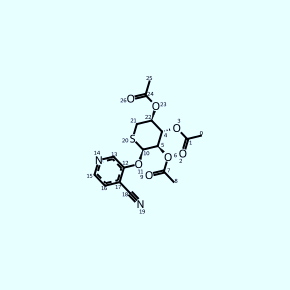 CC(=O)O[C@@H]1[C@@H](OC(C)=O)[C@@H](Oc2cnccc2C#N)SC[C@H]1OC(C)=O